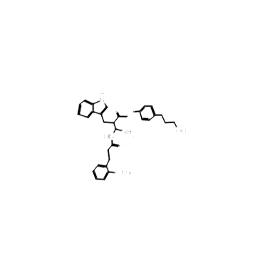 COc1ccccc1CCC(=O)NC(N)C(Cc1c[nH]c2ccccc12)C(=O)COc1ccc(CCCO)cc1